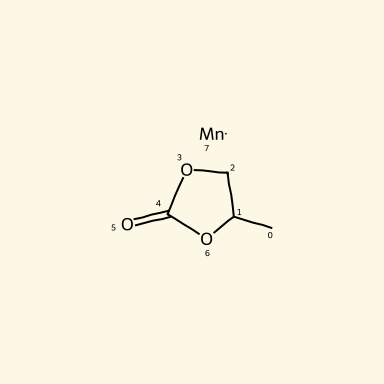 CC1COC(=O)O1.[Mn]